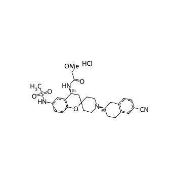 COCC(=O)N[C@H]1CC2(CCN([C@@H]3CCc4cc(C#N)ccc4C3)CC2)Oc2ccc(NS(C)(=O)=O)cc21.Cl